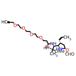 C#CCOCCOCCOCCOCCC(=O)N[C@H]([C@@H]1N[C@@H](OC=O)C[C@H]1/C=C\C)[C@](C)(CCC)OC